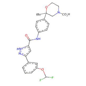 CC(C)(C)C1(c2ccc(NC(=O)c3cc(-c4cccc(OC(F)F)c4)n[nH]3)cc2)CN(C(=O)O)CCO1